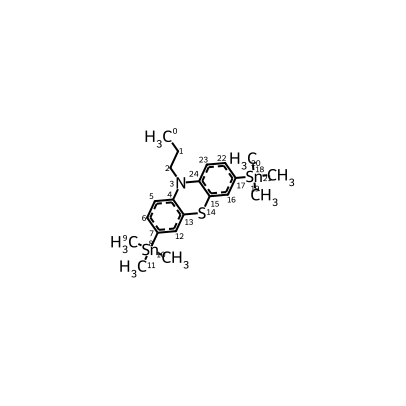 CCCN1c2cc[c]([Sn]([CH3])([CH3])[CH3])cc2Sc2c[c]([Sn]([CH3])([CH3])[CH3])ccc21